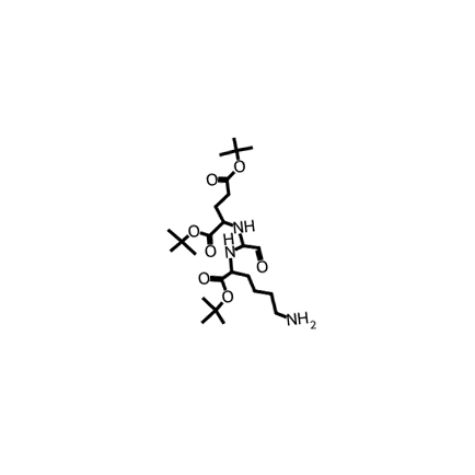 CC(C)(C)OC(=O)CCC(NC(C=O)NC(CCCCN)C(=O)OC(C)(C)C)C(=O)OC(C)(C)C